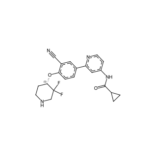 N#Cc1cc(-c2cc(NC(=O)C3CC3)ccn2)ccc1O[C@H]1CCNCC1(F)F